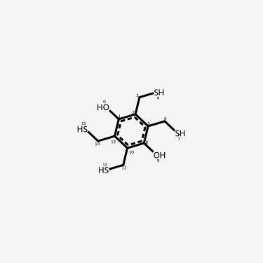 Oc1c(CS)c(CS)c(O)c(CS)c1CS